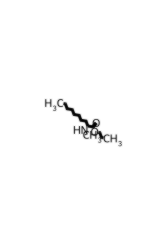 CCCCCCCCC(NC)C(=O)OCCC